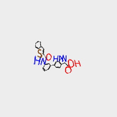 O=C(Nc1cccc(-c2ccc3c(C(=O)O)n[nH]c3c2)c1)c1cc2ccccc2s1